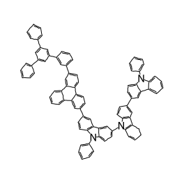 C1=Cc2c(c3cc(-c4ccc5c(c4)c4ccccc4n5-c4ccccc4)ccc3n2-c2ccc3c(c2)c2cc(-c4ccc5c6ccc(-c7cccc(-c8cc(-c9ccccc9)cc(-c9ccccc9)c8)c7)cc6c6ccccc6c5c4)ccc2n3-c2ccccc2)CC1